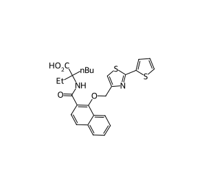 CCCCC(CC)(NC(=O)c1ccc2ccccc2c1OCc1csc(-c2cccs2)n1)C(=O)O